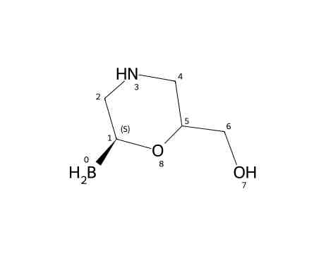 B[C@H]1CNCC(CO)O1